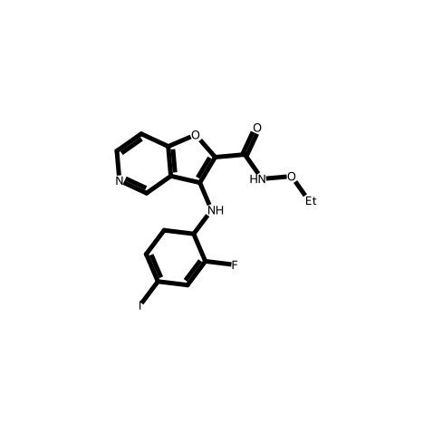 CCONC(=O)c1oc2ccncc2c1NC1CC=C(I)C=C1F